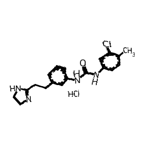 Cc1ccc(NC(=O)Nc2cccc(CCC3=NCCN3)c2)cc1Cl.Cl